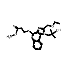 CCOCc1nc2c(SCCC(=O)ON)nc3ccccc3c2n1CC(C)(C)O